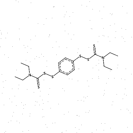 CCN(CC)C(=S)SSc1ccc(SSC(=S)N(CC)CC)cc1